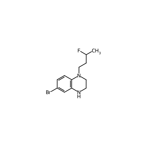 CC(F)CCN1CCNc2cc(Br)ccc21